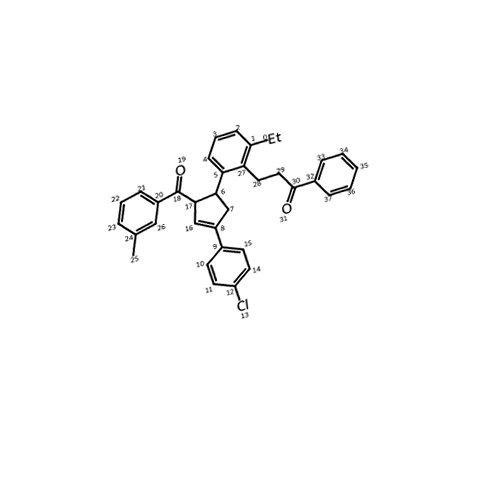 CCc1cccc(C2CC(c3ccc(Cl)cc3)=CC2C(=O)c2cccc(C)c2)c1CCC(=O)c1ccccc1